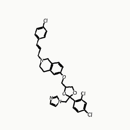 Clc1ccc(C=CCN2CCc3cc(OCC4COC(Cn5ccnc5)(c5ccc(Cl)cc5Cl)O4)ccc3C2)cc1